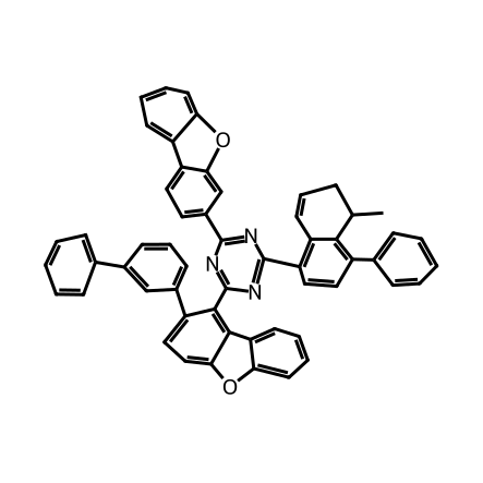 CC1CC=Cc2c(-c3nc(-c4ccc5c(c4)oc4ccccc45)nc(-c4c(-c5cccc(-c6ccccc6)c5)ccc5oc6ccccc6c45)n3)ccc(-c3ccccc3)c21